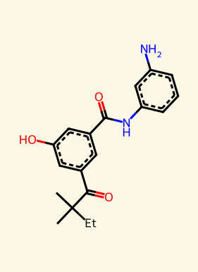 CCC(C)(C)C(=O)c1cc(O)cc(C(=O)Nc2cccc(N)c2)c1